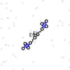 CCC1(CC)c2cc(/C=C/c3ccc(N4c5ccccc5N(c5ccccc5)c5ccccc54)cc3)ccc2-c2ccc(/C=C/c3ccc(N4c5ccccc5N(c5ccccc5)c5ccccc54)cc3)cc21